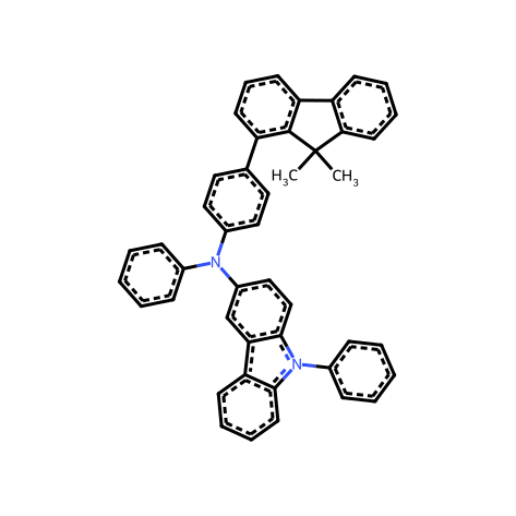 CC1(C)c2ccccc2-c2cccc(-c3ccc(N(c4ccccc4)c4ccc5c(c4)c4ccccc4n5-c4ccccc4)cc3)c21